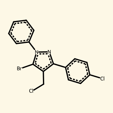 ClCc1c(-c2ccc(Cl)cc2)nn(-c2ccccc2)c1Br